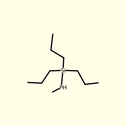 CCC[Si](CCC)(CCC)PC